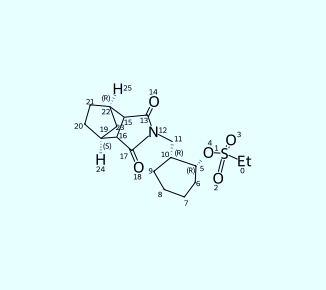 CCS(=O)(=O)O[C@@H]1CCCC[C@@H]1CN1C(=O)C2C(C1=O)[C@H]1CC[C@@H]2C1